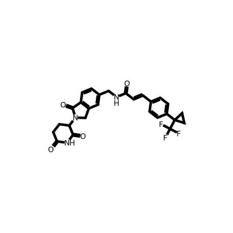 O=C(/C=C/c1ccc(C2(C(F)(F)F)CC2)cc1)NCc1ccc2c(c1)CN(C1CCC(=O)NC1=O)C2=O